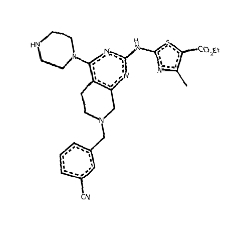 CCOC(=O)c1sc(Nc2nc3c(c(N4CCNCC4)n2)CCN(Cc2cccc(C#N)c2)C3)nc1C